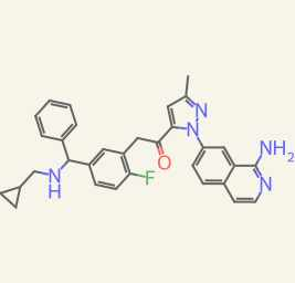 Cc1cc(C(=O)Cc2cc(C(NCC3CC3)c3ccccc3)ccc2F)n(-c2ccc3ccnc(N)c3c2)n1